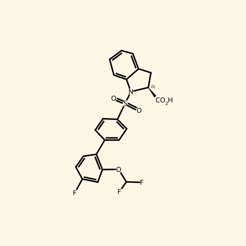 O=C(O)[C@@H]1Cc2ccccc2N1S(=O)(=O)c1ccc(-c2ccc(F)cc2OC(F)F)cc1